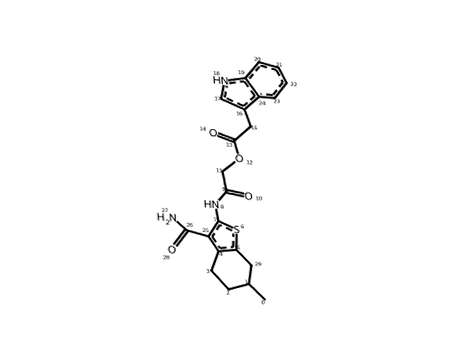 CC1CCc2c(sc(NC(=O)COC(=O)Cc3c[nH]c4ccccc34)c2C(N)=O)C1